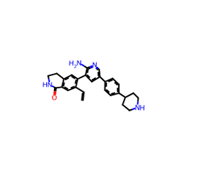 C=Cc1cc2c(cc1-c1cc(-c3ccc(C4CCNCC4)cc3)cnc1N)CCNC2=O